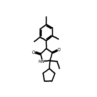 CCC1(C2CCCC2)NC(=O)C(c2c(C)cc(C)cc2C)C1=O